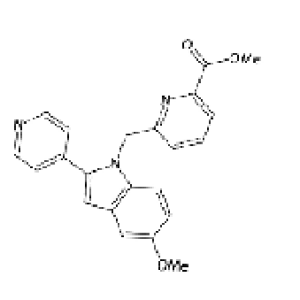 COC(=O)c1cccc(Cn2c(-c3ccncc3)cc3cc(OC)ccc32)n1